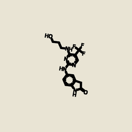 O=C1Cc2cc(Nc3ncc(C(F)(F)F)c(NCCCO)n3)ccc2N1